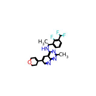 Cc1nc(N[C@H](C)c2cccc(C(F)F)c2F)c2cc(C3=CCOCC3)cnc2n1